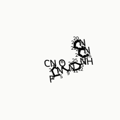 N#CC1C[C@H](F)CN1C(=O)CN1CCC(Nc2cnc3ncccc3c2)CC1